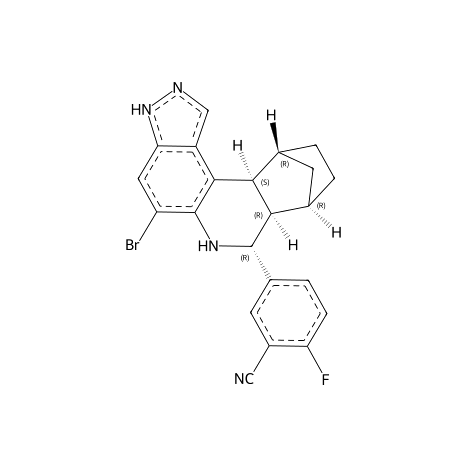 N#Cc1cc([C@@H]2Nc3c(Br)cc4[nH]ncc4c3[C@H]3[C@@H]4CC[C@H](C4)[C@H]32)ccc1F